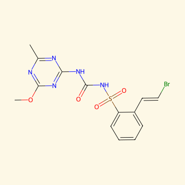 COc1nc(C)nc(NC(=O)NS(=O)(=O)c2ccccc2C=CBr)n1